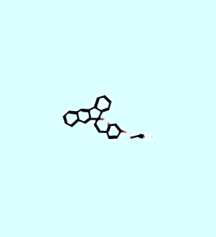 C#CCOc1ccc2c(c1)OC1(C=C2)c2ccccc2-c2cc3ccccc3cc21